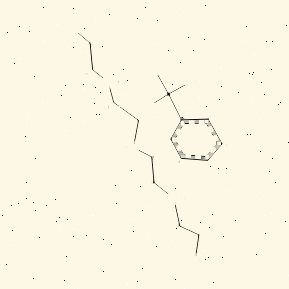 CCC(O)(O)c1ccccc1.OCCOCCOCCOCCO